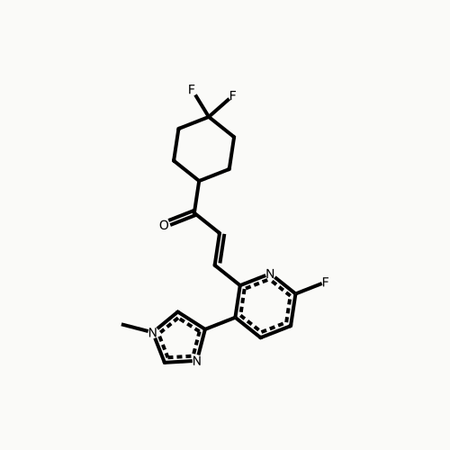 Cn1cnc(-c2ccc(F)nc2/C=C/C(=O)C2CCC(F)(F)CC2)c1